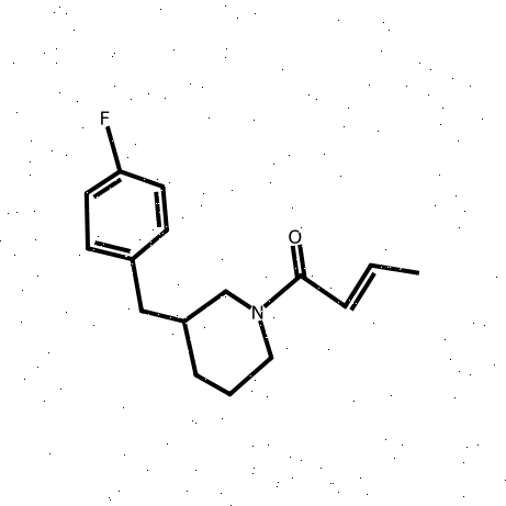 CC=CC(=O)N1CCCC(Cc2ccc(F)cc2)C1